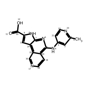 Cc1cc(Nc2nc3[nH]c(C(=O)O)cc3c3cnccc23)ccn1